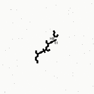 C=C/C=C\C=C(\C#CC(C)(C)/C(C=C)=C/C=C(/C#CC(C)(B/C(C=C)=C/C=C)CC)C=C)C=C